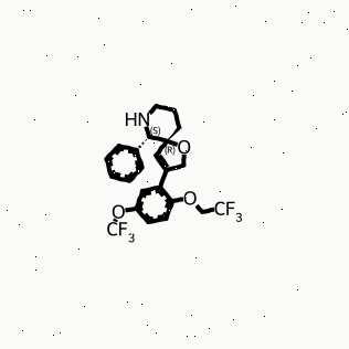 FC(F)(F)COc1ccc(OC(F)(F)F)cc1C1=C[C@@]2(CCCN[C@H]2c2ccccc2)OC1